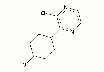 O=C1CCC(c2nccnc2Cl)CC1